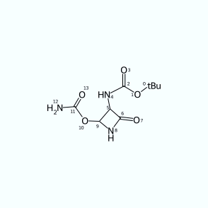 CC(C)(C)OC(=O)NC1C(=O)NC1OC(N)=O